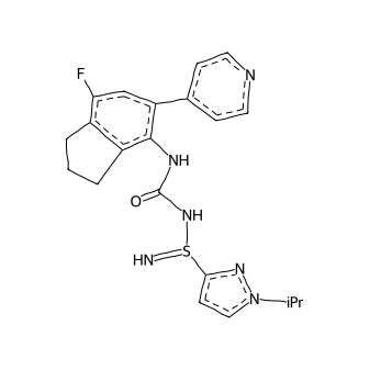 CC(C)n1ccc(S(=N)NC(=O)Nc2c(-c3ccncc3)cc(F)c3c2CCC3)n1